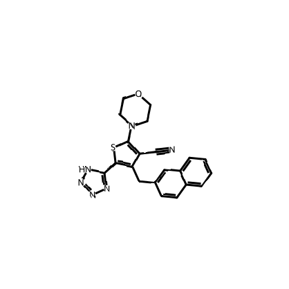 N#Cc1c(N2CCOCC2)sc(-c2nnn[nH]2)c1Cc1ccc2ccccc2c1